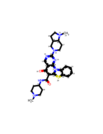 CN1CCC(NC(=O)c2c(=O)c3cnc(N4CCC5C(CCN5C)C4)nc3n3c2sc2ccccc23)CC1